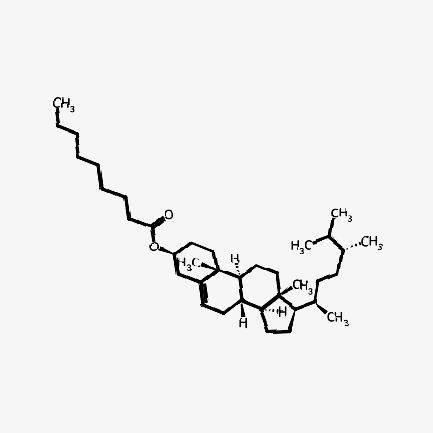 CCCCCCCCC(=O)O[C@H]1CC[C@@]2(C)C(=CC[C@H]3[C@@H]4CC[C@H]([C@H](C)CC[C@@H](C)C(C)C)[C@@]4(C)CC[C@@H]32)C1